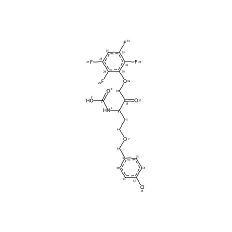 O=C(O)NC(CCOCc1ccc(Cl)cc1)C(=O)COc1c(F)c(F)cc(F)c1F